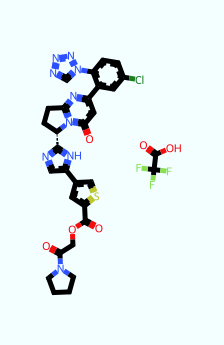 O=C(O)C(F)(F)F.O=C(OCC(=O)N1CCCC1)c1cc(-c2cnc([C@@H]3CCc4nc(-c5cc(Cl)ccc5-n5cnnn5)cc(=O)n43)[nH]2)cs1